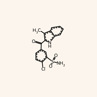 Cc1c(C(=O)c2ccc(Cl)c(S(N)(=O)=O)c2)[nH]c2ccccc12